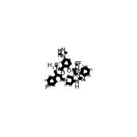 COc1ccc(-n2cnnn2)cc1C(=O)N(C)CC(CCN1CCC(Nc2nc3ccccc3n2CCOC(F)(F)F)CC1)c1ccc(F)cc1